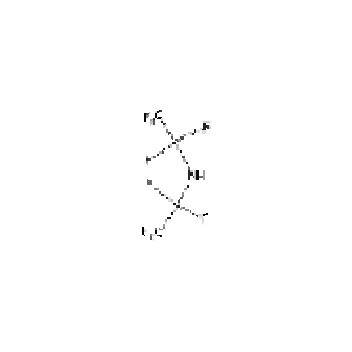 FC(F)(F)C(F)(F)NC(F)(F)C(F)(F)F